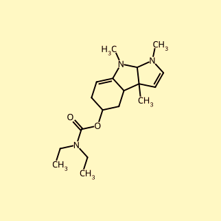 CCN(CC)C(=O)OC1CC=C2C(C1)C1(C)C=CN(C)C1N2C